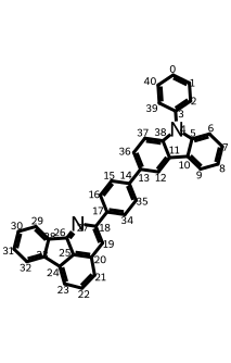 c1ccc(-n2c3ccccc3c3cc(-c4ccc(-c5cc6cccc7c6c(n5)-c5ccccc5-7)cc4)ccc32)cc1